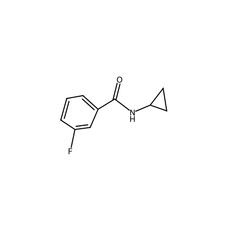 O=C(NC1CC1)c1cccc(F)c1